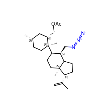 C=C(C)[C@H]1CCC2[C@H](CN=[N+]=[N-])C([C@@]3(C)CC[C@H](C)C[C@@H]3COC(C)=O)CC[C@@]21C